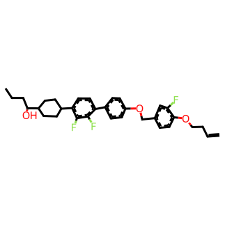 C=CCCOc1ccc(COc2ccc(-c3ccc(C4CCC(C(O)CCC)CC4)c(F)c3F)cc2)cc1F